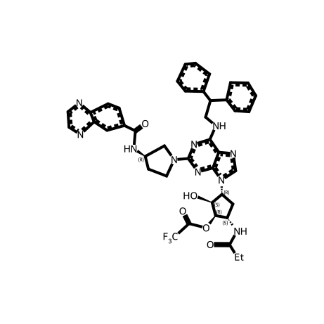 CCC(=O)N[C@H]1C[C@@H](n2cnc3c(NCC(c4ccccc4)c4ccccc4)nc(N4CC[C@@H](NC(=O)c5ccc6nccnc6c5)C4)nc32)[C@H](O)[C@@H]1OC(=O)C(F)(F)F